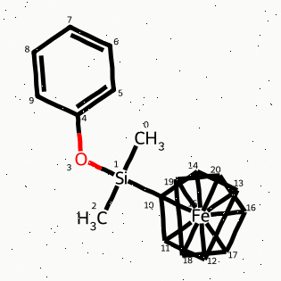 C[Si](C)(Oc1ccccc1)[C]12[CH]3[CH]4[CH]5[CH]1[Fe]45321678[CH]2[CH]1[CH]6[CH]7[CH]28